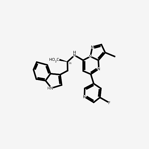 Cc1cnn2c(N[C@@H](Cc3c[nH]c4ccccc34)C(=O)O)cc(-c3cncc(F)c3)nc12